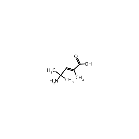 C/C(=C\C(C)(C)N)C(=O)O